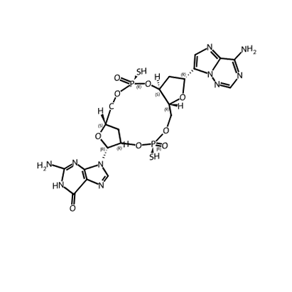 Nc1nc2c(ncn2[C@@H]2O[C@@H]3CO[P@@](=O)(S)O[C@H]4C[C@H](c5cnc6c(N)ncnn56)O[C@@H]4CO[P@@](=O)(S)O[C@@H]2C3)c(=O)[nH]1